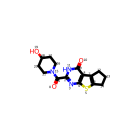 O=C(c1nc2sc3c(c2c(=O)[nH]1)CCC3)N1CCC(O)CC1